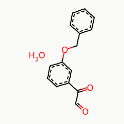 O.O=CC(=O)c1cccc(OCc2ccccc2)c1